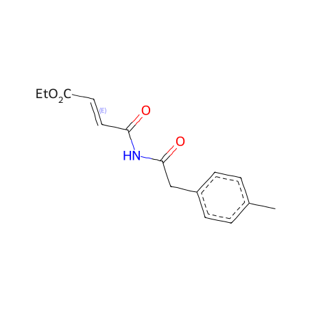 CCOC(=O)/C=C/C(=O)NC(=O)Cc1ccc(C)cc1